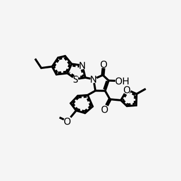 CCc1ccc2nc(N3C(=O)C(O)=C(C(=O)c4ccc(C)o4)C3c3ccc(OC)cc3)sc2c1